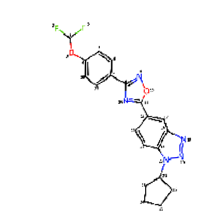 FC(F)Oc1ccc(-c2noc(-c3ccc4c(c3)nnn4C3CCCC3)n2)cc1